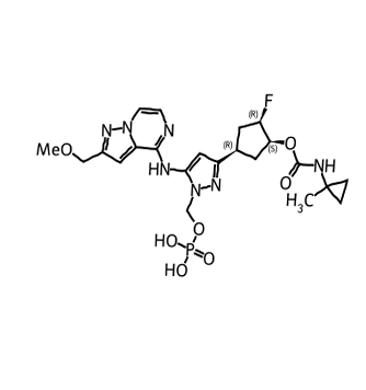 COCc1cc2c(Nc3cc([C@H]4C[C@@H](F)[C@@H](OC(=O)NC5(C)CC5)C4)nn3COP(=O)(O)O)nccn2n1